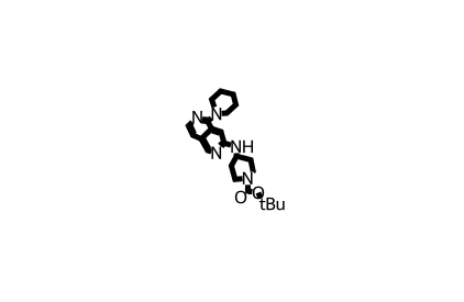 CC(C)(C)OC(=O)N1CCC(Nc2cc3c(N4CCCCC4)nccc3cn2)CC1